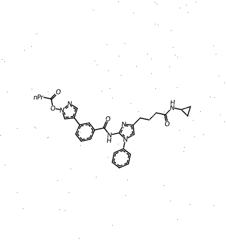 CCCC(=O)On1cc(-c2cccc(C(=O)Nc3nc(CCCC(=O)NC4CC4)cn3-c3ccccc3)c2)cn1